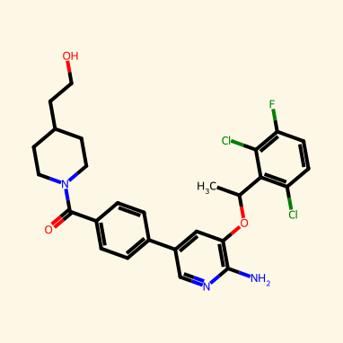 CC(Oc1cc(-c2ccc(C(=O)N3CCC(CCO)CC3)cc2)cnc1N)c1c(Cl)ccc(F)c1Cl